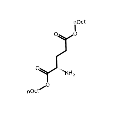 CCCCCCCCOC(=O)CC[C@H](N)C(=O)OCCCCCCCC